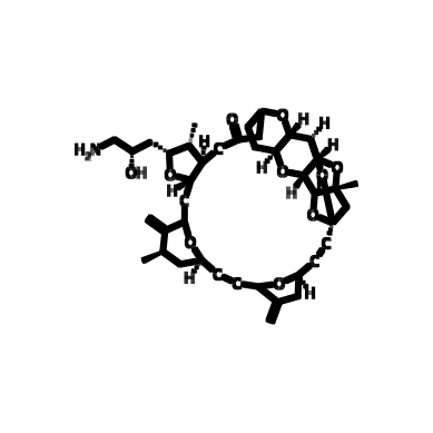 C=C1C[C@@H]2CC[C@@]34C[C@@]5(C)O[C@H]6[C@@H](O3)[C@H]3OC(CC[C@@H]3O[C@H]6[C@H]5O4)CC(=O)C[C@@H]3[C@@H](C)[C@@H](C[C@H](O)CN)O[C@H]3CC3O[C@@H](CCC1O2)C[C@@H](C)C3=C